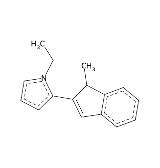 CCn1cccc1C1=Cc2ccccc2[C]1C